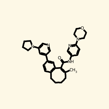 C/C1=C(\C(=O)Nc2ccc(N3CCOCC3)nc2)c2cc(-c3cncc(N4CCCC4)c3)ccc2CCCC1